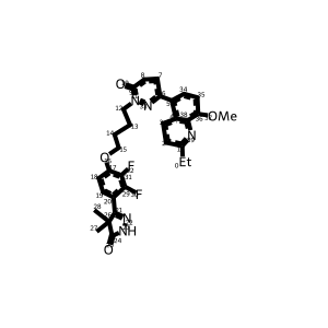 CCc1ccc2c(-c3ccc(=O)n(CCCCOc4ccc(C5=NNC(=O)C5(C)C)c(F)c4F)n3)ccc(OC)c2n1